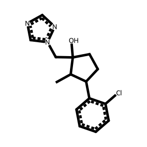 CC1C(c2ccccc2Cl)CCC1(O)Cn1cncn1